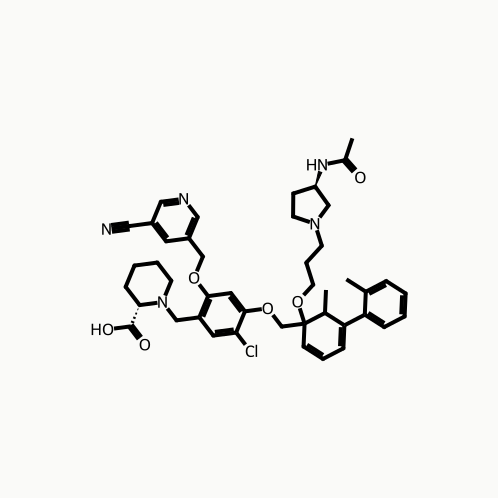 CC(=O)N[C@@H]1CCN(CCCOC2(COc3cc(OCc4cncc(C#N)c4)c(CN4CCCC[C@H]4C(=O)O)cc3Cl)C=CC=C(c3ccccc3C)C2C)C1